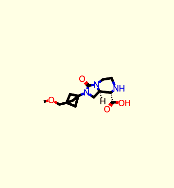 COCC12CC(N3C[C@@H]4[C@@H](C(=O)O)NCCN4C3=O)(C1)C2